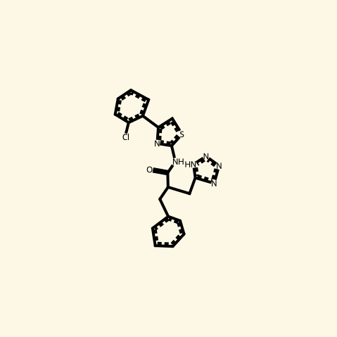 O=C(Nc1nc(-c2ccccc2Cl)cs1)C(Cc1ccccc1)Cc1nnn[nH]1